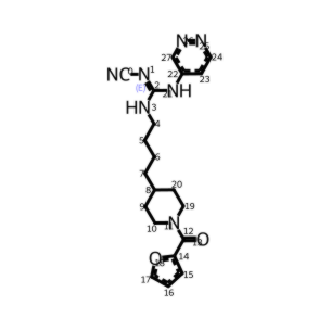 N#C/N=C(\NCCCCC1CCN(C(=O)c2ccco2)CC1)Nc1ccnnc1